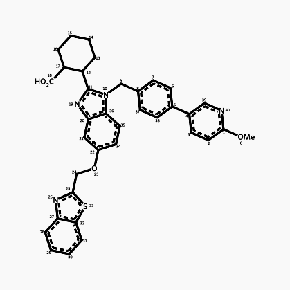 COc1ccc(-c2ccc(Cn3c(C4CCCCC4C(=O)O)nc4cc(OCc5nc6ccccc6s5)ccc43)cc2)cn1